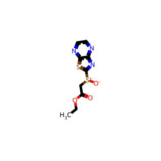 CCOC(=O)C[S+]([O-])c1nc2nccnc2s1